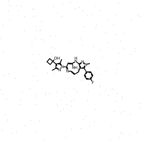 Cc1nn(C2=N/C=C/Cc3c(nn(C)c3-c3ccc(F)cc3)N\C(N)=C\2)c(C)c1C1(O)CCC1